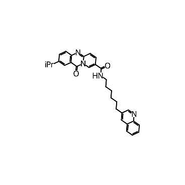 CC(C)c1ccc2nc3ccc(C(=O)NCCCCCCc4cnc5ccccc5c4)cn3c(=O)c2c1